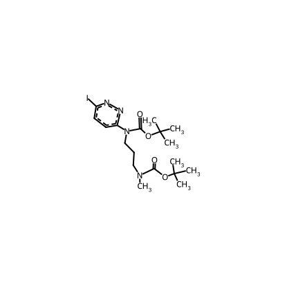 CN(CCCN(C(=O)OC(C)(C)C)c1ccc(I)nn1)C(=O)OC(C)(C)C